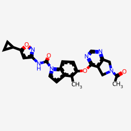 CC(=O)N1Cc2ncnc(Oc3ccc4c(ccn4C(=O)Nc4cc(C5CC5)on4)c3C)c2C1